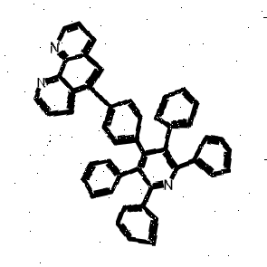 c1ccc(-c2nc(-c3ccccc3)c(-c3ccccc3)c(-c3ccc(-c4cc5cccnc5c5ncccc45)cc3)c2-c2ccccc2)cc1